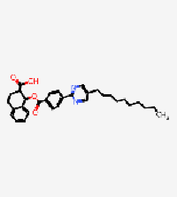 CCCCCCCCCCc1cnc(-c2ccc(C(=O)OC3c4ccccc4CCC3C(=O)O)cc2)nc1